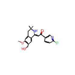 COc1cc2c(cc1CO)C(=CC(=O)c1ccc(Cl)nc1)NC(C)(C)C2